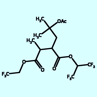 CC(=O)OC(C)(C)CC(C(=O)OC(C(F)(F)F)C(F)(F)F)C(C)C(=O)OCC(F)(F)F